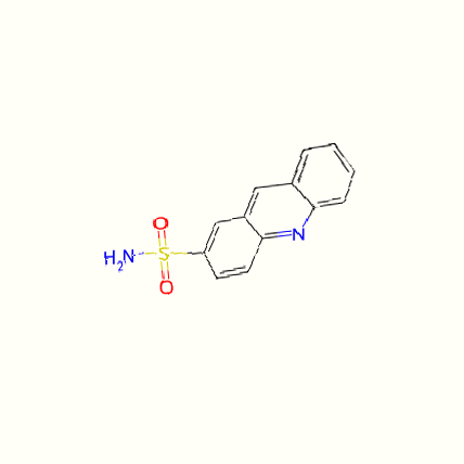 NS(=O)(=O)c1ccc2nc3ccccc3cc2c1